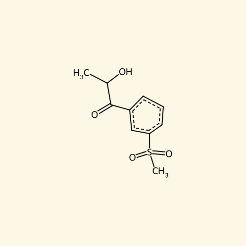 CC(O)C(=O)c1cccc(S(C)(=O)=O)c1